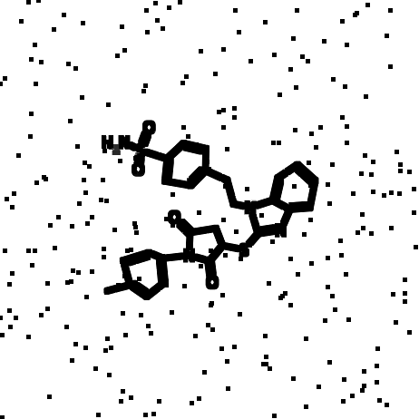 Cc1ccc(N2C(=O)CC(Sc3nc4ccccc4n3CCc3ccc(S(N)(=O)=O)cc3)C2=O)cc1